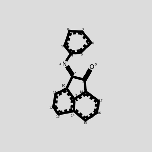 O=C1C(=Nc2ccccc2)c2cccc3cccc1c23